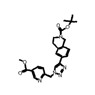 COC(=O)c1ccc(Cn2cc(-c3ccc4c(c3)CCN(C(=O)OC(C)(C)C)C4)nn2)nc1